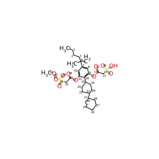 CCCCC(C)(C)c1cc(OC(=O)CS(=O)(=O)O)c(C2CCC(C3CCCCC3)CC2)c(OC(=O)CS(=O)(=O)OOC)c1